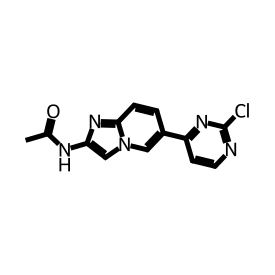 CC(=O)Nc1cn2cc(-c3ccnc(Cl)n3)ccc2n1